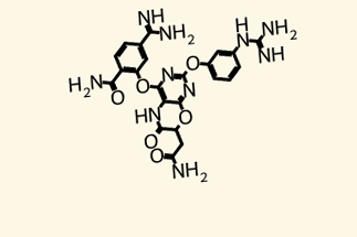 N=C(N)Nc1cccc(Oc2nc(Oc3cc(C(=N)N)ccc3C(N)=O)c3c(n2)OC(CC(N)=O)C(=O)N3)c1